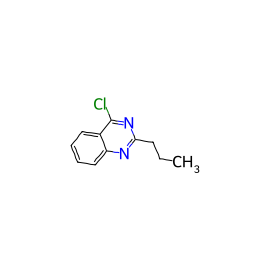 CCCc1nc(Cl)c2ccccc2n1